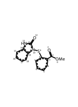 COC(=O)c1ccccc1Sn1c(=O)[nH]c2ccccc21